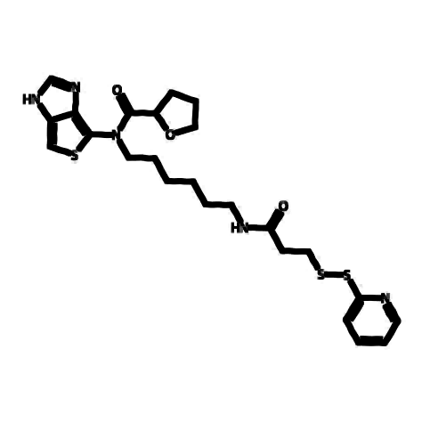 O=C(CCSSc1ccccn1)NCCCCCCN(C(=O)C1CCCO1)c1scc2[nH]cnc12